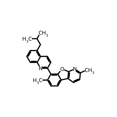 Cc1ccc2c(n1)oc1c(-c3ccc4c(CC(C)C)cccc4n3)c(C)ccc12